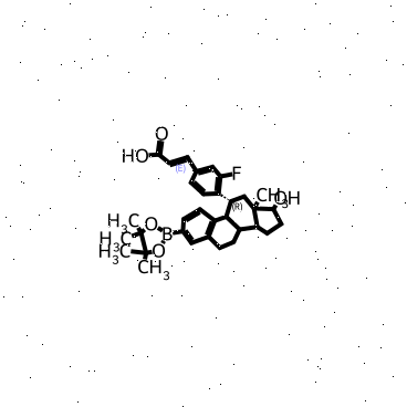 CC12C[C@@H](c3ccc(/C=C/C(=O)O)cc3F)C3c4ccc(B5OC(C)(C)C(C)(C)O5)cc4CCC3C1CCC2O